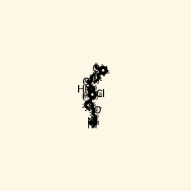 COc1ccccc1N1CCN(C(=O)c2cc3c(Cl)cc(C4=CCCN(C(=O)CCn5ccnn5)C4)c(F)c3[nH]2)CC1